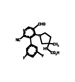 CC1(NC(=O)O)CCN(c2c(C=O)cnc(C#N)c2-c2cc(F)cc(F)c2)C1